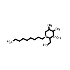 CCCCCCCCCN1CC(O)C(O)[C@H](O)C1CO